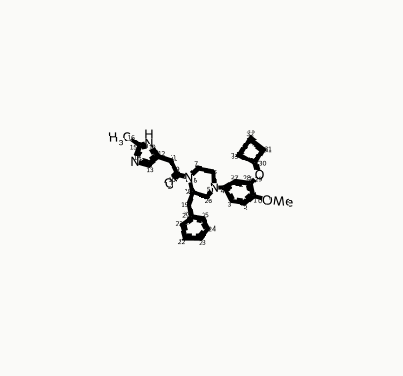 COc1ccc(N2CCN(C(=O)Cc3cnc(C)[nH]3)C(Cc3ccccc3)C2)cc1OC1CCC1